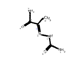 C/C(=N\NC(N)=O)C(N)=O